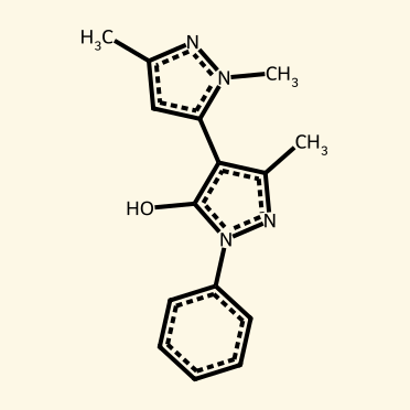 Cc1cc(-c2c(C)nn(-c3ccccc3)c2O)n(C)n1